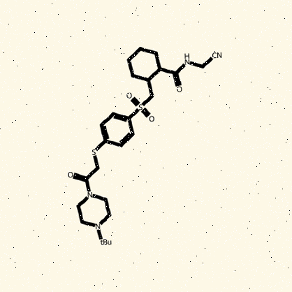 CC(C)(C)N1CCN(C(=O)CSc2ccc(S(=O)(=O)CC3CCCCC3C(=O)NCC#N)cc2)CC1